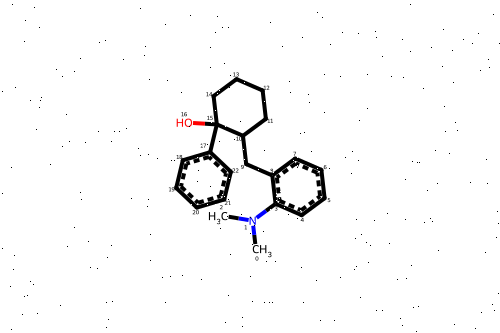 CN(C)c1ccccc1CC1CCCCC1(O)c1ccccc1